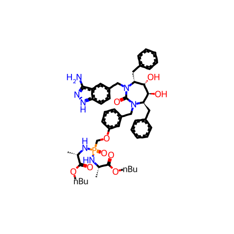 CCCCOC(=O)[C@H](C)NP(=O)(COc1cccc(CN2C(=O)N(Cc3ccc4[nH]nc(N)c4c3)[C@H](Cc3ccccc3)[C@H](O)[C@@H](O)[C@H]2Cc2ccccc2)c1)N[C@@H](C)C(=O)OCCCC